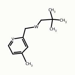 CC1=C[CH]=[V][C]([CH2][W][CH2]C(C)(C)C)=C1